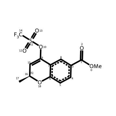 COC(=O)c1ccc2c(c1)C(OS(=O)(=O)C(F)(F)F)=C[C@H](C)O2